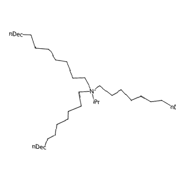 CCCCCCCCCCCCCCCCC[N+](CCCCCCCCCCCCCCCCC)(CCCCCCCCCCCCCCCCC)C(C)C